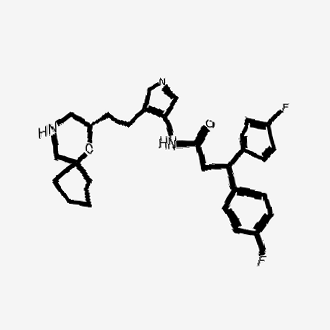 O=C(CC(c1ccc(F)cc1)c1ccc(F)cc1)NC1=C(CC[C@@H]2CNCC3(CCCC3)O2)CN=C1